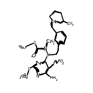 CCCCOc1nc(N)c([N+](=O)[O-])c(N(Cc2cccc(CN3CCCC3C)c2)N(C)C(=O)OC(C)(C)C)n1